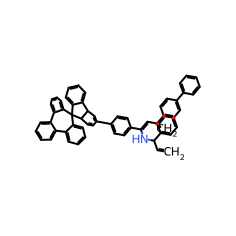 C=CC(N/C(=C\C(=C)c1ccc(-c2ccccc2)cc1)c1ccc(C2=CC3c4ccccc4C4(c5ccccc5-c5ccccc5-c5ccccc54)C3C=C2)cc1)c1ccccc1